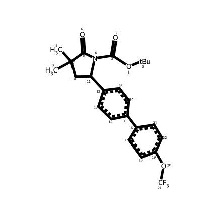 CC(C)(C)OC(=O)N1C(=O)C(C)(C)CC1c1ccc(-c2ccc(OC(F)(F)F)cc2)cc1